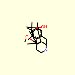 COC1(C)C(C)C23CCNC(Cc4ccc(C)c(C)c42)C3CC1C(C)(O)C(C)(C)C